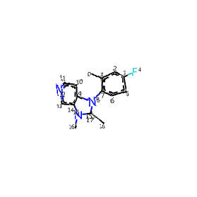 Cc1cc(F)ccc1N1c2ccncc2N(C)[C@@H]1C